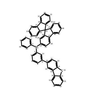 c1ccc(N(c2cccc(-c3ccc4sc5ccccc5c4c3)c2)c2ccc3c(c2)C2(c4ccccc4-c4ccccc42)c2ccccc2-3)cc1